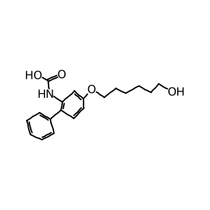 O=C(O)Nc1cc(OCCCCCCO)ccc1-c1ccccc1